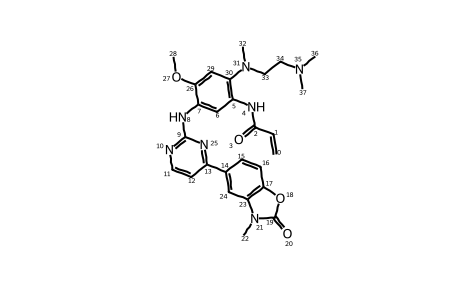 C=CC(=O)Nc1cc(Nc2nccc(-c3ccc4oc(=O)n(C)c4c3)n2)c(OC)cc1N(C)CCN(C)C